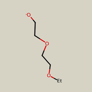 CCOCCOCC[O]